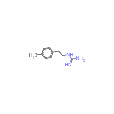 Bc1ccc(CCNC(=N)N)cc1